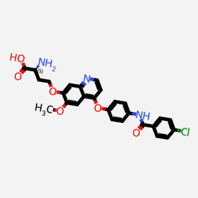 COc1cc2c(Oc3ccc(NC(=O)c4ccc(Cl)cc4)cc3)ccnc2cc1OCC[C@H](N)C(=O)O